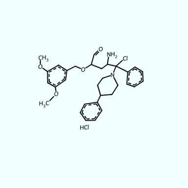 COc1cc(COC(C=O)CC(N)C(Cl)(c2ccccc2)N2CCC(c3ccccc3)CC2)cc(OC)c1.Cl